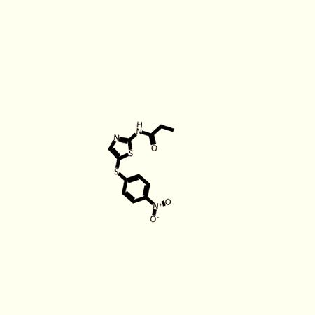 CCC(=O)Nc1ncc(Sc2ccc([N+](=O)[O-])cc2)s1